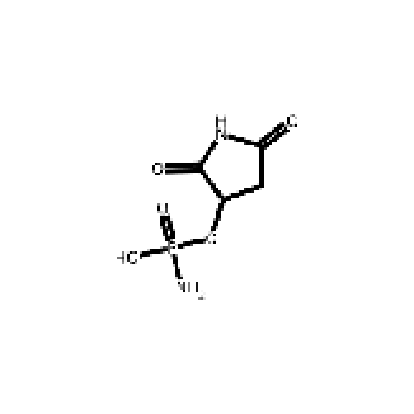 NP(=O)(O)OC1CC(=O)NC1=O